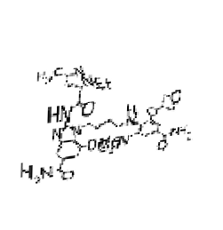 CCn1nc(C)cc1C(=O)Nc1nc2cc(C(N)=O)cc(OC)c2n1C/C=C/CNc1c(OC2COC2)cc(C(N)=O)cc1[N+](=O)[O-]